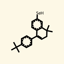 CC(C)(C)c1ccc(C2=CCC(C)(C)c3cc([SeH])ccc32)cc1